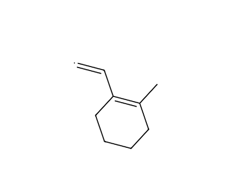 [CH]=CC1=C(C)CCCC1